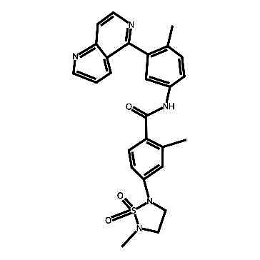 Cc1cc(N2CCN(C)S2(=O)=O)ccc1C(=O)Nc1ccc(C)c(-c2nccc3ncccc23)c1